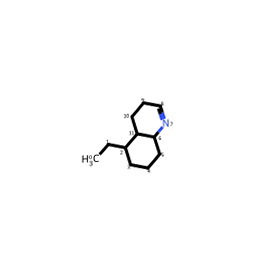 CCC1CCCC2N=CCCC12